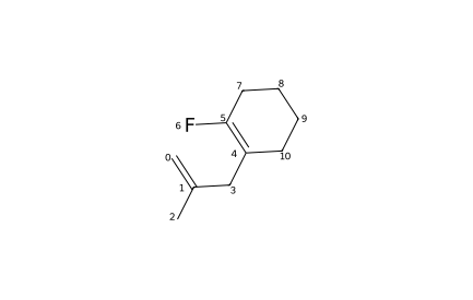 C=C(C)CC1=C(F)CCCC1